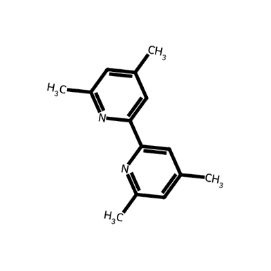 Cc1cc(C)nc(-c2cc(C)cc(C)n2)c1